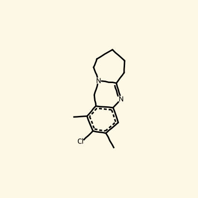 Cc1cc2c(c(C)c1Cl)CN1CCCCCC1=N2